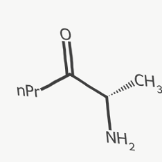 CCCC(=O)[C@H](C)N